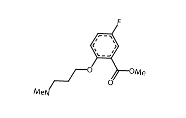 CNCCCOc1ccc(F)cc1C(=O)OC